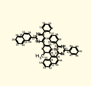 CC1CC(c2cc(-c3ccccc3)nc(-c3ccc4ccccc4c3)n2)=CC=C1c1c(-c2nc(-c3ccccc3)nc(-c3ccccc3)n2)ccc2ccccc12